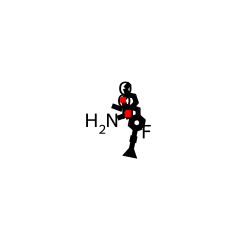 COC1CCC2(CC1)Cc1cc(F)c(C#CC3CC3)cc1C21N=C(N)N(C)C1=O